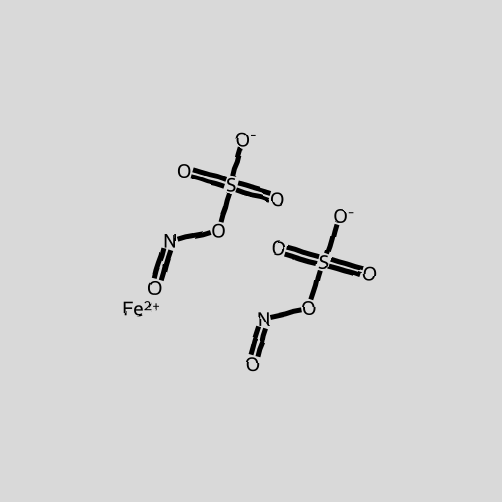 O=NOS(=O)(=O)[O-].O=NOS(=O)(=O)[O-].[Fe+2]